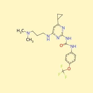 CN(C)CCCNc1cc(C2CC2)nc(NC(=O)Nc2ccc(OC(F)(F)F)cc2)n1